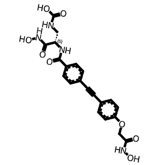 O=C(O)NC[C@H](NC(=O)c1ccc(C#Cc2ccc(OCC(=O)NO)cc2)cc1)C(=O)NO